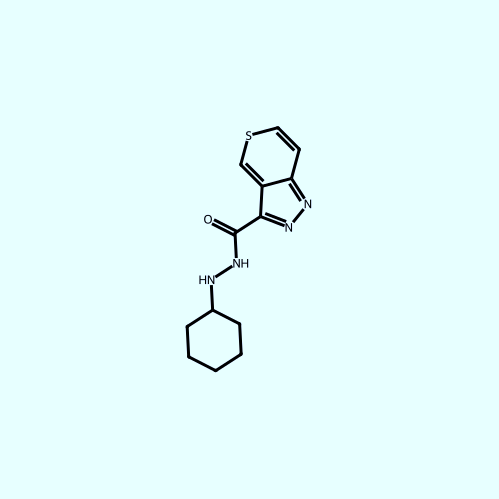 O=C(NNC1CCCCC1)c1nnc2ccscc1-2